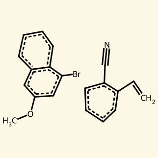 C=Cc1ccccc1C#N.COc1cc(Br)c2ccccc2c1